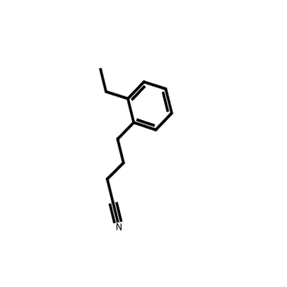 CCc1ccccc1CCCC#N